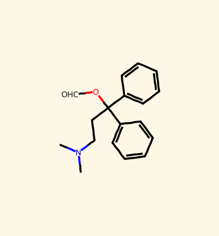 CN(C)CCC(OC=O)(c1ccccc1)c1ccccc1